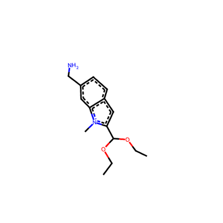 CCOC(OCC)c1cc2ccc(CN)cc2n1C